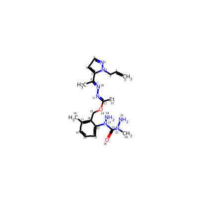 C=CCn1nccc1/C(C)=N/N=C(CC)OCc1c(C)cccc1N(N)C(=O)N(C)N